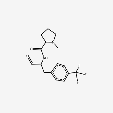 CN1CCCC1C(=O)NC(C=O)Cc1ccc(C(F)(F)F)cc1